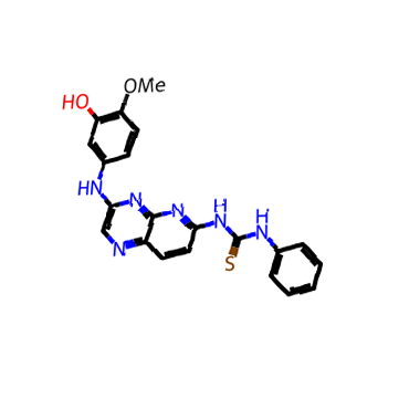 COc1ccc(Nc2cnc3ccc(NC(=S)Nc4ccccc4)nc3n2)cc1O